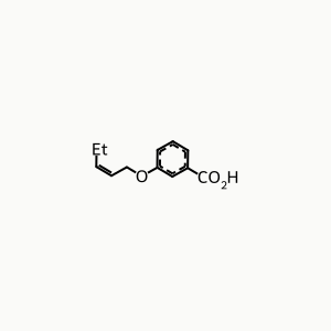 CC/C=C\COc1cccc(C(=O)O)c1